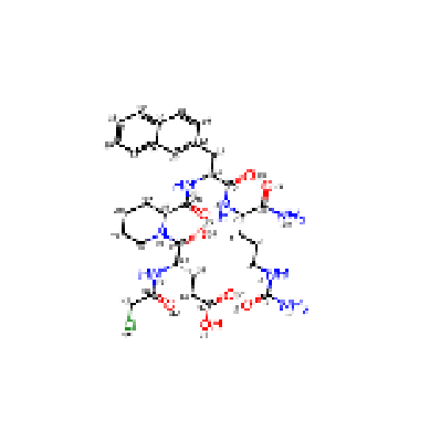 NC(=O)NCCC[C@H](NC(=O)[C@H](Cc1ccc2ccccc2c1)NC(=O)[C@@H]1CCCCN1C(=O)[C@H](CCC(=O)O)NC(=O)CCl)C(N)=O